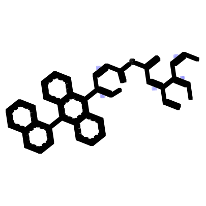 C=CC(=C/C(=C)OC(=C)/C=C\C(=C/C)c1c2ccccc2c(-c2cccc3ccccc23)c2ccccc12)/C(/C=C\C)=C\C